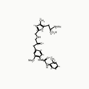 COc1cc(CC(=O)CNCc2nc(C)c(CC(NC(C)=O)C(=O)O)o2)ccc1NC(=O)Nc1ccccc1C